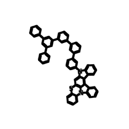 c1ccc(-c2cc(-c3ccccc3)cc(-c3cccc(-c4cccc(-c5cccc(-n6c7ccccc7c7c8c9ccccc9n9c8c(cc76)Sc6ccccc6-9)c5)c4)c3)c2)cc1